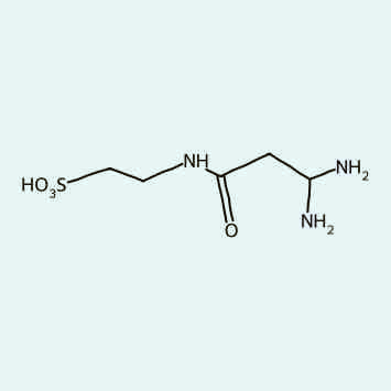 NC(N)CC(=O)NCCS(=O)(=O)O